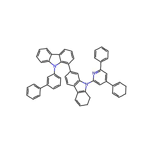 C1=CC(c2cc(-c3ccccc3)nc(-n3c4c(c5ccc(-c6cccc7c8ccccc8n(-c8cccc(-c9ccccc9)c8)c67)cc53)C=CCC4)c2)=CCC1